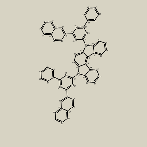 c1ccc(-c2nc(-c3ccc4ccccc4c3)nc(-n3c4ccccc4c4c5c6ccccc6n(-c6nc(-c7ccccc7)nc(-c7ccc8ccccc8c7)n6)c5ccc43)n2)cc1